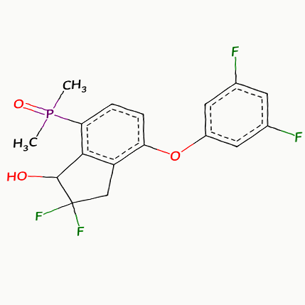 CP(C)(=O)c1ccc(Oc2cc(F)cc(F)c2)c2c1C(O)C(F)(F)C2